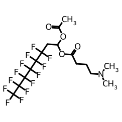 CC(=O)OC(CC(F)(F)C(F)(F)C(F)(F)C(F)(F)C(F)(F)C(F)(F)F)OC(=O)CCCN(C)C